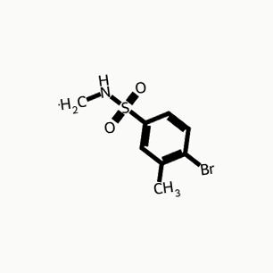 [CH2]NS(=O)(=O)c1ccc(Br)c(C)c1